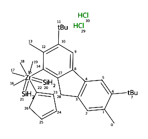 Cc1cc2c(cc1C(C)(C)C)-c1cc(C(C)(C)C)c(C)[c]([Zr]([CH3])([CH3])([CH3])([CH3])(=[SiH2])(=[SiH2])[C]3=CC=CC3)c1C2.Cl.Cl